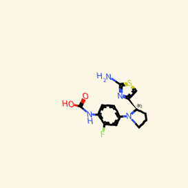 Nc1nc([C@H]2CCCN2c2ccc(NC(=O)O)c(F)c2)cs1